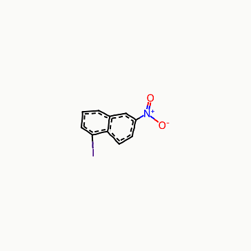 O=[N+]([O-])c1ccc2c(I)cccc2c1